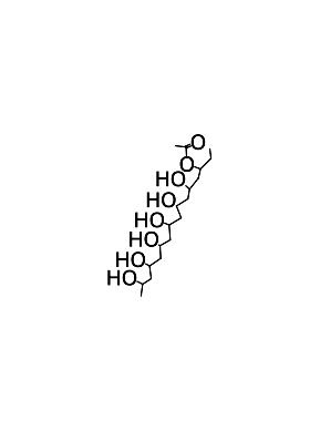 CCC(CC(O)CC(O)CC(O)CC(O)CC(O)CC(C)O)OC(C)=O